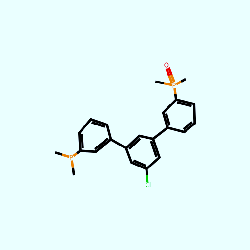 CP(C)c1cccc(-c2cc(Cl)cc(-c3cccc(P(C)(C)=O)c3)c2)c1